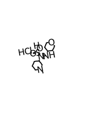 CN1CCCC(N(NC2CCOCC2)[SH](=O)=O)C1.Cl